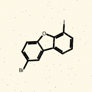 Brc1ccc2oc3c(I)cccc3c2c1